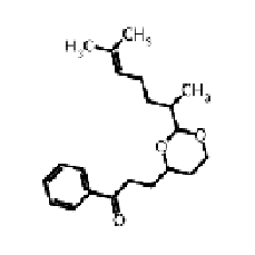 CC(C)=CCCC(C)C1OCCC(CCC(=O)c2ccccc2)O1